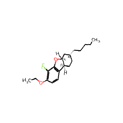 CCCCC[C@@H]1CC[C@H]2c3ccc(OCC)c(F)c3O[C@@H]2C1